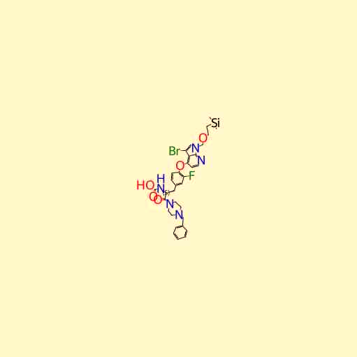 C[Si](C)(C)CCOCn1cc(Br)c2c(Oc3ccc(C[C@H](NC(=O)O)C(=O)N4CCN(Cc5ccccc5)CC4)cc3F)ccnc21